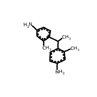 Cc1cc(N)ccc1C(C)c1ccc(N)cc1C